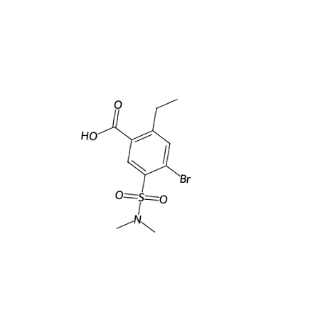 CCc1cc(Br)c(S(=O)(=O)N(C)C)cc1C(=O)O